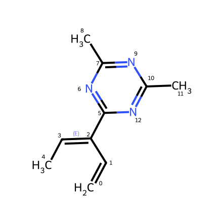 C=C/C(=C\C)c1nc(C)nc(C)n1